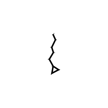 CCCCCC1CC1